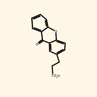 O=C(O)CCc1ccc2oc3ccccc3c(=O)c2c1